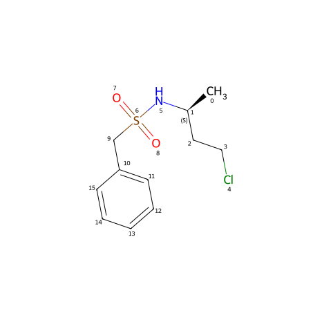 C[C@@H](CCCl)NS(=O)(=O)Cc1ccccc1